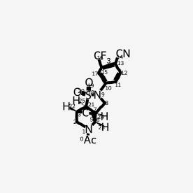 CC(=O)N1C[C@H]2CC[C@@H]1[C@@H]1CN(c3ccc(C#N)c(C(F)(F)F)c3)S(=O)(=O)[C@H]21